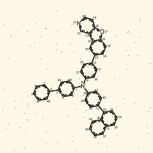 c1ccc(-c2ccc(N(c3ccc(-c4ccc5oc6ccncc6c5c4)cc3)c3ccc(-c4cccc5ccccc45)cc3)cc2)cc1